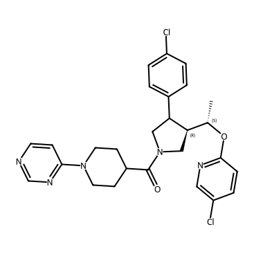 C[C@H](Oc1ccc(Cl)cn1)[C@H]1CN(C(=O)C2CCN(c3ccncn3)CC2)CC1c1ccc(Cl)cc1